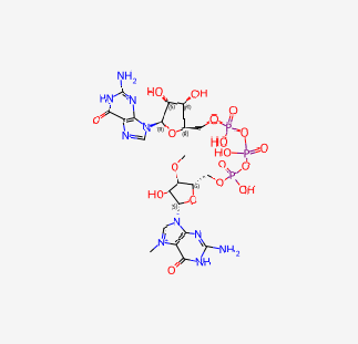 COC1C(O)[C@@H](n2c[n+](C)c3c(=O)[nH]c(N)nc32)O[C@H]1COP(=O)(O)OP(=O)(O)OP(=O)(O)OC[C@H]1O[C@@H](n2cnc3c(=O)[nH]c(N)nc32)[C@@H](O)[C@H]1O